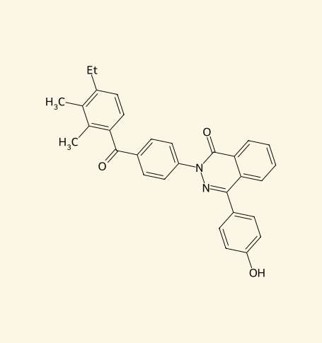 CCc1ccc(C(=O)c2ccc(-n3nc(-c4ccc(O)cc4)c4ccccc4c3=O)cc2)c(C)c1C